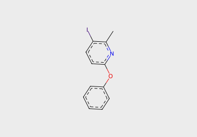 Cc1nc(Oc2ccccc2)ccc1I